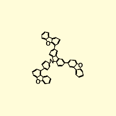 c1ccc2c(c1)oc1ccc(-c3ccc4c(c3)c3cc(-c5cccc6c5oc5ccccc56)ccc3n4-c3ccc(-c4cccc5oc6ccccc6c45)cc3)cc12